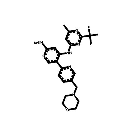 CC(=O)Nc1cc(Nc2cc(C)nc(C(C)(F)F)n2)c(-c2ccc(CN3CCOCC3)cn2)cn1